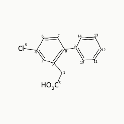 O=C(O)Cc1cc(Cl)ccc1-c1ccccc1